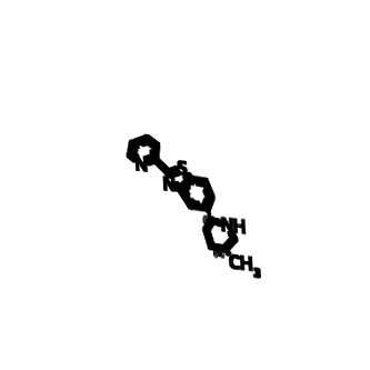 C[C@H]1CC[C@H](c2ccc3sc(-c4ccccn4)nc3c2)NC1